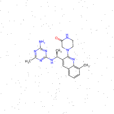 Cc1nc(N)nc(N[C@@H](C)c2cc3cccc(C)c3nc2N2CCNC(=O)C2)n1